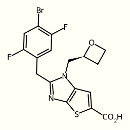 O=C(O)c1cc2c(nc(Cc3cc(F)c(Br)cc3F)n2C[C@@H]2CCO2)s1